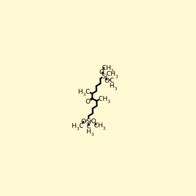 CO[Si](C)(CCCCC(C)C(=O)C(C)CCCC[Si](C)(OC)OC)OC